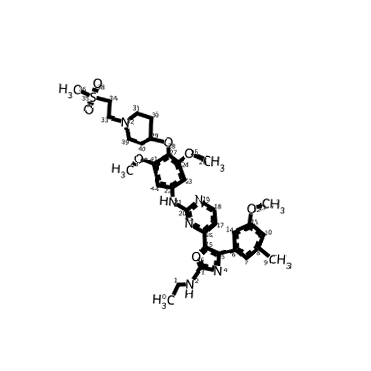 CCNc1nc(-c2cc(C)cc(OC)c2)c(-c2ccnc(Nc3cc(OC)c(OC4CCN(CCS(C)(=O)=O)CC4)c(OC)c3)n2)o1